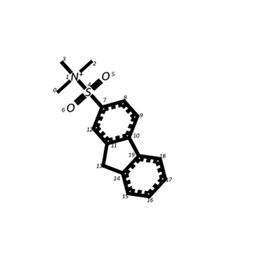 C[N+](C)(C)S(=O)(=O)c1ccc2c(c1)Cc1ccccc1-2